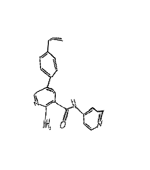 C=Cc1ccc(-c2cnc(N)c(C(=O)Nc3ccncc3)c2)cc1